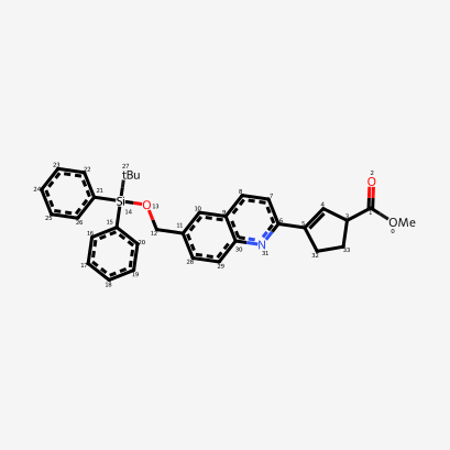 COC(=O)C1C=C(c2ccc3cc(CO[Si](c4ccccc4)(c4ccccc4)C(C)(C)C)ccc3n2)CC1